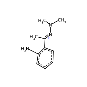 C/C(=N\N(C)C)c1ccccc1N